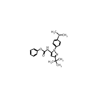 CN(C)c1ccc(-n2nc(C(C)(C)C)cc2NC(=O)Oc2ccccc2)cc1